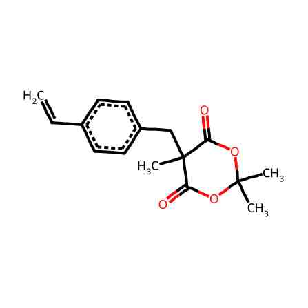 C=Cc1ccc(CC2(C)C(=O)OC(C)(C)OC2=O)cc1